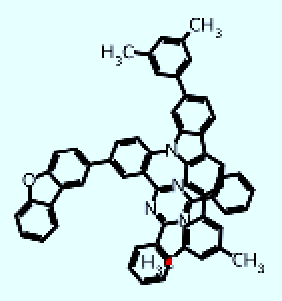 Cc1cc(C)cc(-c2ccc3c4ccc(-c5cc(C)cc(C)c5)cc4n(-c4ccc(-c5ccc6oc7ccccc7c6c5)cc4-c4nc(-c5ccccc5)nc(-c5ccccc5)n4)c3c2)c1